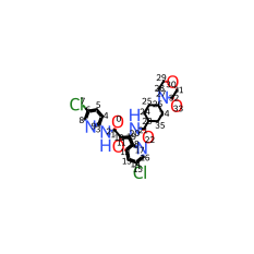 O=C(Nc1ccc(Cl)cn1)c1oc2cc(Cl)cnc2c1NC(=O)C1CCC(N2CCOCC2=O)CC1